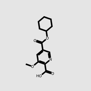 COc1cc(C(=O)OC2CCCCC2)cnc1C(=O)O